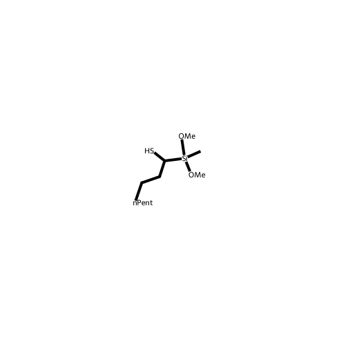 CCCCCCCC(S)[Si](C)(OC)OC